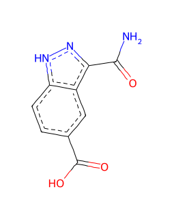 NC(=O)c1n[nH]c2ccc(C(=O)O)cc12